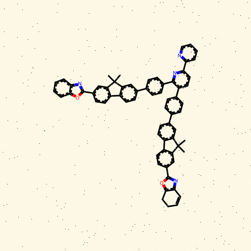 CC1(C)c2cc(-c3ccc(-c4ccc(-c5ccccn5)nc4-c4ccc(-c5ccc6c(c5)C(C)(C)c5cc(-c7nc8ccccc8o7)ccc5-6)cc4)cc3)ccc2-c2ccc(-c3nc4c(o3)CCC=C4)cc21